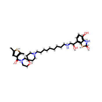 Cc1cc(C(=O)N2CCOC3(CCN(CCCCCCCCCNCC(O)c4ccc(O)c5[nH]c(=O)sc45)CC3)C2)c(C)s1